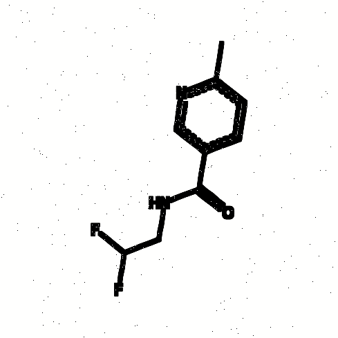 Cc1ccc(C(=O)NCC(F)F)cn1